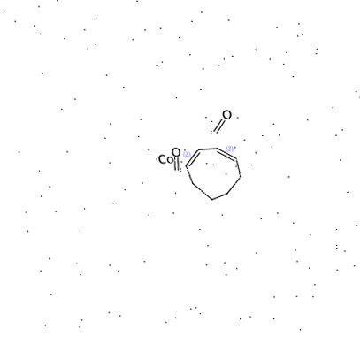 C1=C\CCCC\C=C/1.[C]=O.[C]=O.[Co]